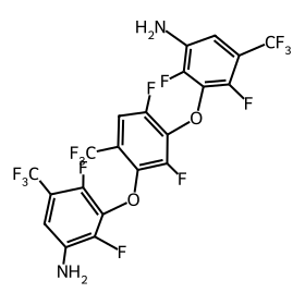 Nc1cc(C(F)(F)F)c(F)c(Oc2c(F)cc(C(F)(F)F)c(Oc3c(F)c(N)cc(C(F)(F)F)c3F)c2F)c1F